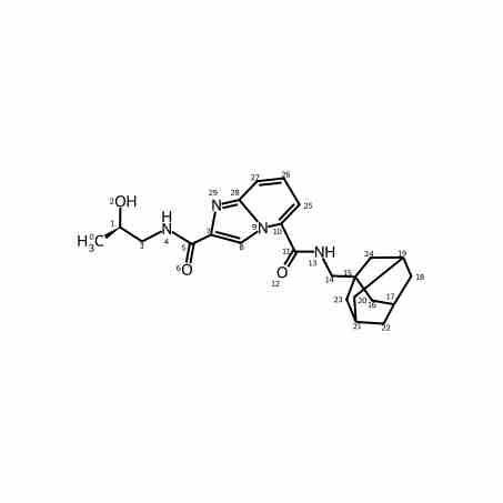 C[C@@H](O)CNC(=O)c1cn2c(C(=O)NCC34CC5CC(CC(C5)C3)C4)cccc2n1